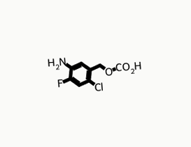 Nc1cc(COC(=O)O)c(Cl)cc1F